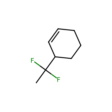 CC(F)(F)C1C=CCCC1